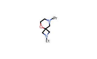 CCN1CC2(C1)CN(C(C)C)CCO2